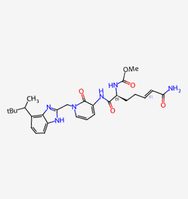 COC(=O)N[C@@H](CC/C=C/C(N)=O)C(=O)Nc1cccn(Cc2nc3c(C(C)C(C)(C)C)cccc3[nH]2)c1=O